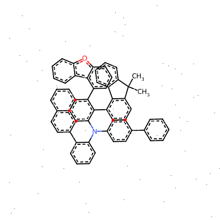 CC1(C)c2ccccc2-c2c(-c3c(-c4cccc5oc6ccccc6c45)cccc3N(c3ccc(-c4ccccc4)cc3)c3ccccc3-c3ccc4ccccc4c3)cccc21